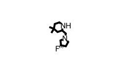 CC1(C)CCNC(CN2CC[C@H](F)C2)C1